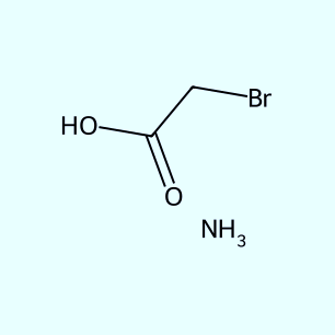 N.O=C(O)CBr